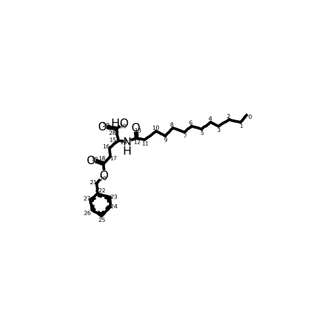 CCCCCCCCCCCCC(=O)NC(CCC(=O)OCc1ccccc1)C(=O)O